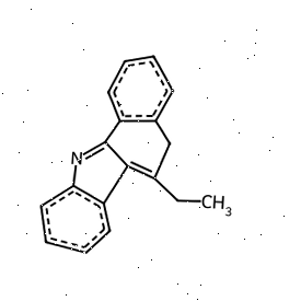 CCC1=C2C(=Nc3ccccc32)c2ccccc2C1